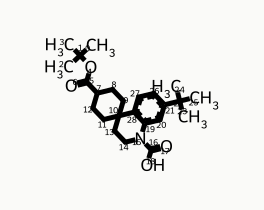 CC(C)(C)OC(=O)C1CCC2(CC1)CCN(C(=O)O)c1cc(C(C)(C)C)ccc12